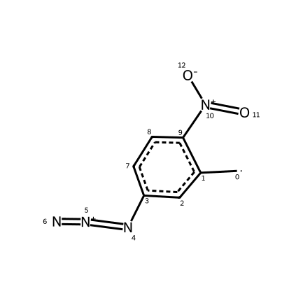 [CH2]c1cc(N=[N+]=[N-])ccc1[N+](=O)[O-]